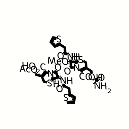 CC(=O)OCC1=C(C(=O)O)N2C(=O)[C@@H](NC(=O)Cc3cccs3)[C@H]2SC1.CO[C@@]1(NC(=O)Cc2cccs2)C(=O)N2C(C(=O)O)=C(COC(N)=O)CS[C@@H]21